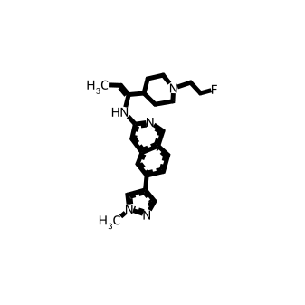 C/C=C(\Nc1cc2cc(-c3cnn(C)c3)ccc2cn1)C1CCN(CCF)CC1